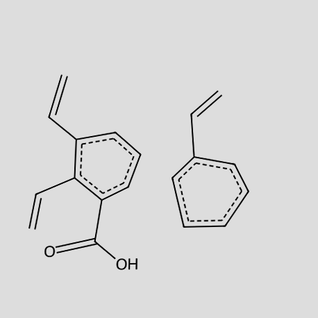 C=Cc1cccc(C(=O)O)c1C=C.C=Cc1ccccc1